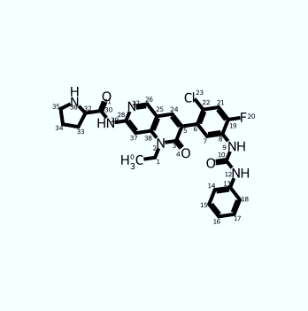 CCn1c(=O)c(-c2cc(NC(=O)Nc3ccccc3)c(F)cc2Cl)cc2cnc(NC(=O)C3CCCN3)cc21